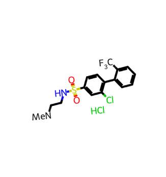 CNCCNS(=O)(=O)c1ccc(-c2ccccc2C(F)(F)F)c(Cl)c1.Cl